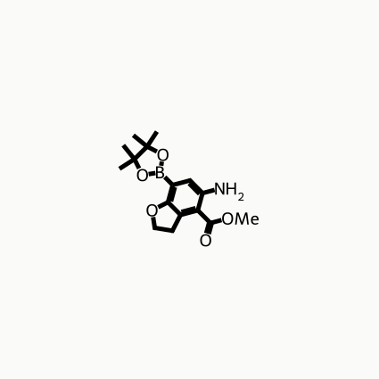 COC(=O)c1c(N)cc(B2OC(C)(C)C(C)(C)O2)c2c1CCO2